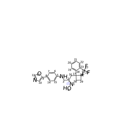 O/N=C(\CNc1ccc(-c2cnco2)cc1)CC1(c2ccccc2C(F)(F)F)CCC1